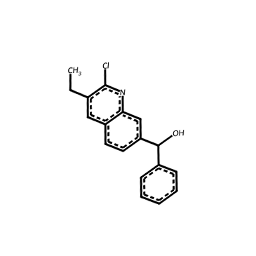 CCc1cc2ccc(C(O)c3ccccc3)cc2nc1Cl